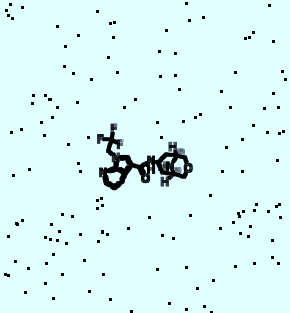 O=C(NC1C[C@H]2COC[C@@H](C1)N2)c1cn(CC(F)(F)F)c2ncccc12